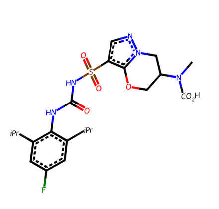 CC(C)c1cc(F)cc(C(C)C)c1NC(=O)NS(=O)(=O)c1cnn2c1OCC(N(C)C(=O)O)C2